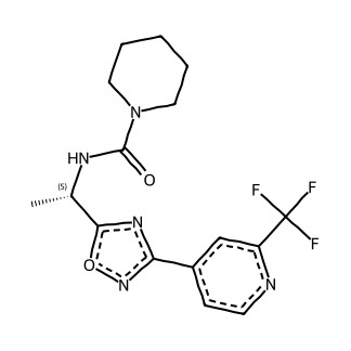 C[C@H](NC(=O)N1CCCCC1)c1nc(-c2ccnc(C(F)(F)F)c2)no1